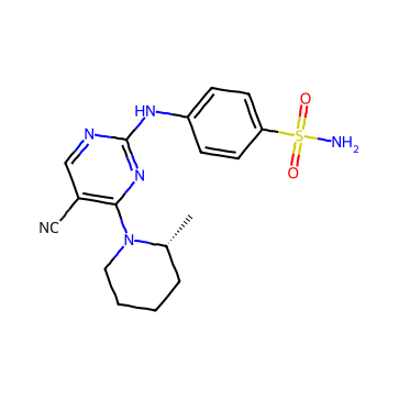 C[C@@H]1CCCCN1c1nc(Nc2ccc(S(N)(=O)=O)cc2)ncc1C#N